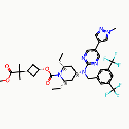 CC[C@@H]1C[C@H](N(Cc2cc(C(F)(F)F)cc(C(F)(F)F)c2)c2ncc(-c3cnn(C)c3)cn2)C[C@H](CC)N1C(=O)O[C@H]1C[C@H](C(C)(C)C(=O)OC)C1